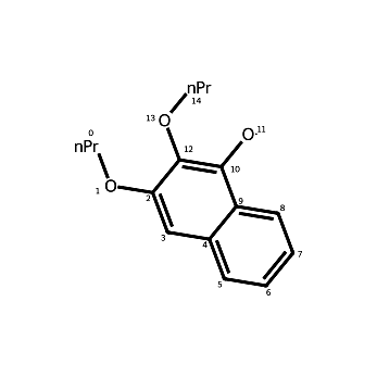 CCCOc1cc2ccccc2c([O])c1OCCC